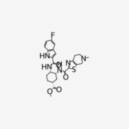 COC(=O)[C@@H]1CC[C@H](NC(=O)c2cc3cc(F)ccc3[nH]2)[C@H](NC(=O)c2nc3c(s2)CN(C)CC3)C1